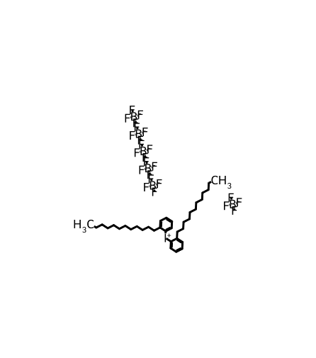 CCCCCCCCCCCCc1ccccc1[I+]c1ccccc1CCCCCCCCCCCC.F[B-](F)(F)F.F[B-](F)(F)F.F[B-](F)(F)F.F[B-](F)(F)F.F[B-](F)(F)F.F[B-](F)(F)F